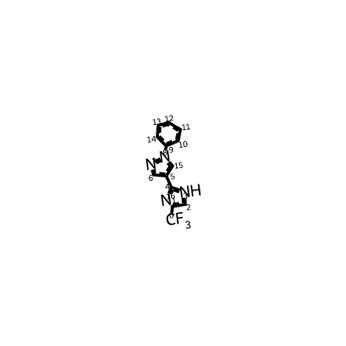 FC(F)(F)c1c[nH]c(-c2cnn(-c3ccccc3)c2)n1